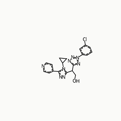 OCC(c1nnn(-c2cccc(Cl)c2)n1)c1nnc(-c2ccncc2)n1C1CC1